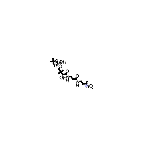 CO/N=C(\C)CCNC(=O)CCNC(=O)[C@H](O)C(C)(C)COP(=O)(O)OC(C)(C)C